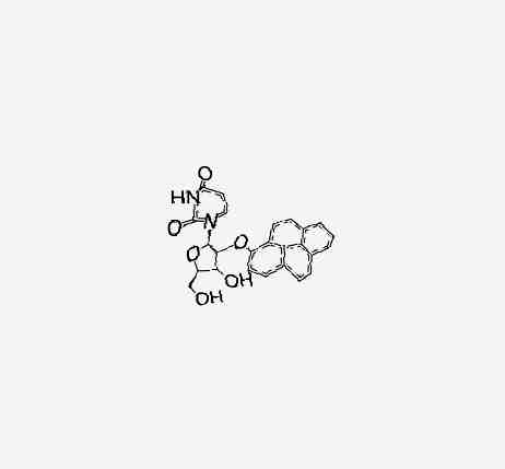 O=c1ccn([C@@H]2O[C@H](CO)C(O)C2Oc2ccc3ccc4cccc5ccc2c3c45)c(=O)[nH]1